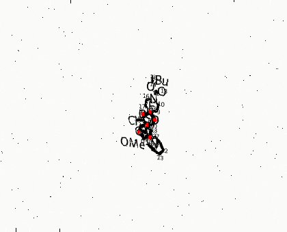 COc1ccc(S(=O)(=O)N2CCN(C(=O)OC(C)(C)C)CC2)cc1N1C2CCC1CN(C(=O)c1ccc(F)cc1Cl)C2